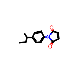 CCC(C)c1ccc(N2C(=O)C=CC2=O)cc1